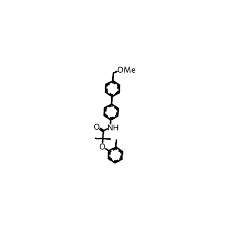 COCc1ccc(-c2ccc(NC(=O)C(C)(C)Oc3ccccc3C)cc2)cc1